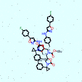 CC(C)(C)OC(=O)N([C@@H](Cc1ccc(Nc2cc(-c3ccc(F)cc3)on2)cc1)C1CN(C2(c3cccc(C(C)(C)C)c3)CC2)C(=O)O1)[C@@H](Cc1ccc(Nc2cc(-c3ccc(F)cc3)on2)cc1)C1CN(C2(c3cccc(C(C)(C)C)c3)CC2)C(=O)O1